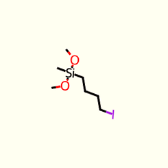 CO[Si](C)(CCCCI)OC